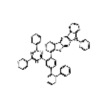 c1ccc(-c2nc(-c3ccccc3)nc(-c3cc(-c4ccccc4-c4ccccc4)ccc3-c3cccc4c3sc3cc5c(cc34)c3ccccc3n5-c3ccccc3)n2)cc1